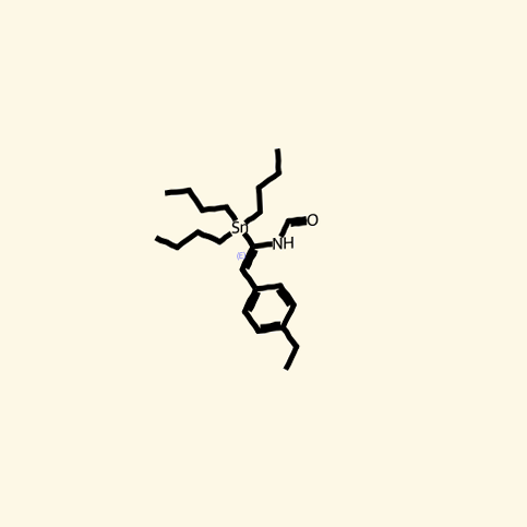 CCC[CH2][Sn]([CH2]CCC)([CH2]CCC)/[C](=C/c1ccc(CC)cc1)NC=O